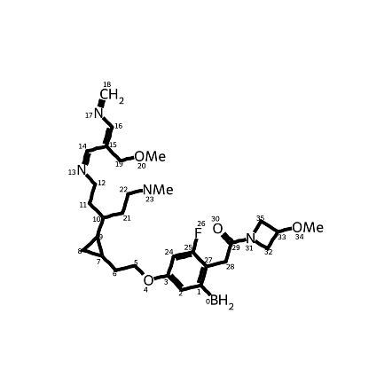 Bc1cc(OCCC2CC2C(CC/N=C\C(=C/N=C)COC)CCNC)cc(F)c1CC(=O)N1CC(OC)C1